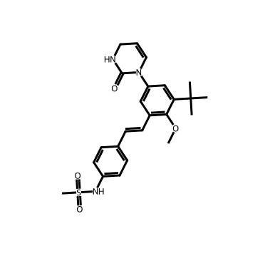 COc1c(C=Cc2ccc(NS(C)(=O)=O)cc2)cc(N2C=CCNC2=O)cc1C(C)(C)C